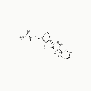 N=C(N)NNCc1cccc(-c2cnc(N3CCOCC3)nc2)c1F